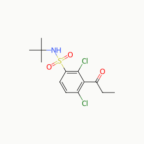 CCC(=O)c1c(Cl)ccc(S(=O)(=O)NC(C)(C)C)c1Cl